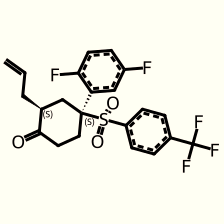 C=CC[C@H]1C[C@@](c2cc(F)ccc2F)(S(=O)(=O)c2ccc(C(F)(F)F)cc2)CCC1=O